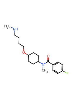 CNCCCCOC1CCC(N(C)C(=O)c2ccc(F)cc2)CC1